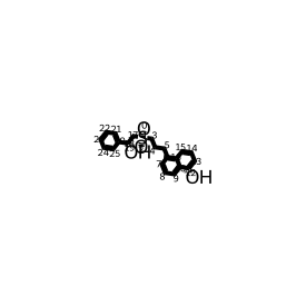 O=S(=O)(CCCc1cccc2c(O)cccc12)CC(O)c1ccccc1